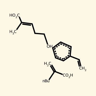 C=C(CCCC)C(=O)O.C=Cc1ccccc1.CC(=CCCO)C(=O)O